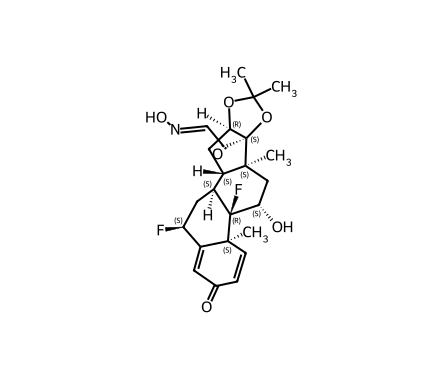 CC1(C)O[C@@H]2C[C@H]3[C@@H]4C[C@H](F)C5=CC(=O)C=C[C@]5(C)[C@@]4(F)[C@@H](O)C[C@]3(C)[C@]2(C(=O)C=NO)O1